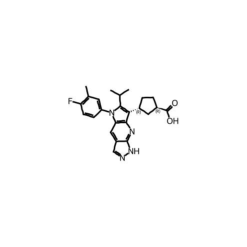 Cc1cc(-n2c(C(C)C)c([C@@H]3CC[C@@H](C(=O)O)C3)c3nc4[nH]ncc4cc32)ccc1F